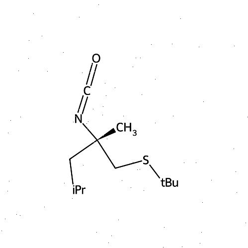 CC(C)C[C@@](C)(CSC(C)(C)C)N=C=O